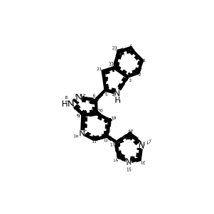 c1ccc2[nH]c(-c3n[nH]c4ncc(-c5cncnc5)cc34)cc2c1